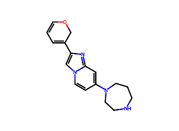 C1=COCC(c2cn3ccc(N4CCCNCC4)cc3n2)=C1